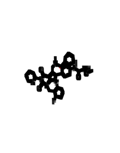 CONC(=O)Nc1ccc(-c2sc3c(c2CN(C)Cc2ccccc2)c(=O)n(-c2ccccn2)c(=O)n3Cc2c(F)cccc2F)cc1